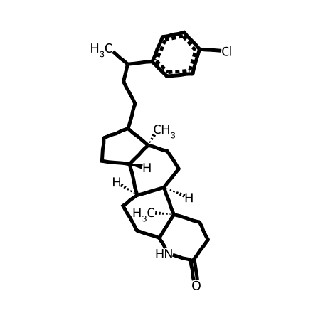 CC(CCC1CC[C@H]2[C@@H]3CCC4NC(=O)CC[C@]4(C)[C@@H]3CC[C@]12C)c1ccc(Cl)cc1